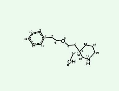 OC[C@]1(CCOCCc2ccccc2)CCCNC1